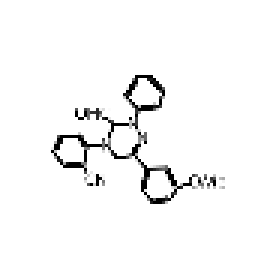 COc1cccc(C2=NN(c3ccccc3)C(C=O)N(c3ccccc3C#N)C2)c1